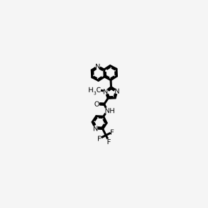 Cn1c(C(=O)Nc2ccnc(C(F)(F)F)c2)cnc1-c1cccc2ncccc12